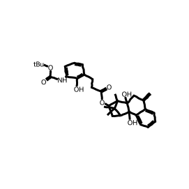 C=C1CC2(O)C(O)(c3ccccc31)C1CC(OC(=O)CCc3cccc(NC(=O)OC(C)(C)C)c3O)C2(C)C1(C)C